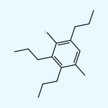 [CH]c1c(CCC)cc(C)c(CCC)c1CCC